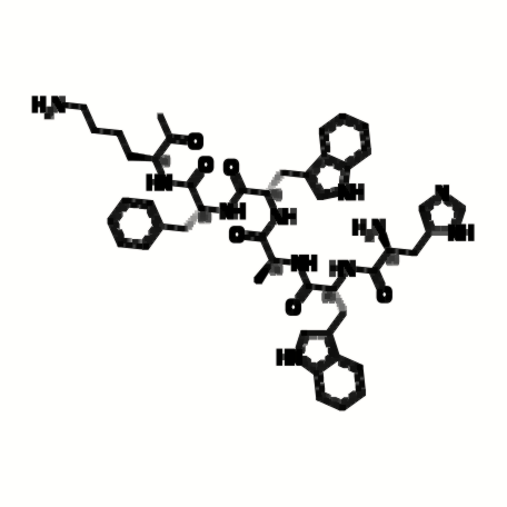 CC(=O)[C@H](CCCCN)NC(=O)[C@@H](Cc1ccccc1)NC(=O)[C@H](Cc1c[nH]c2ccccc12)NC(=O)[C@H](C)NC(=O)[C@@H](Cc1c[nH]c2ccccc12)NC(=O)[C@@H](N)Cc1cnc[nH]1